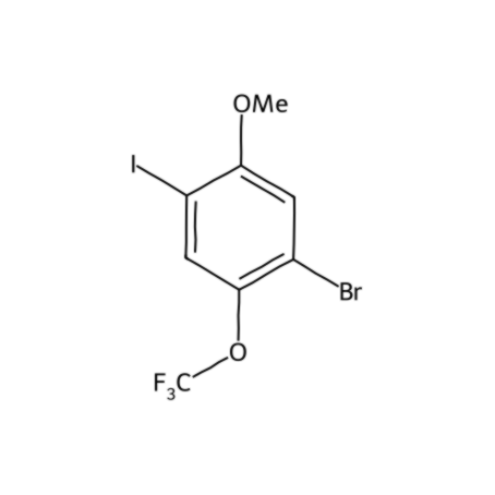 COc1cc(Br)c(OC(F)(F)F)cc1I